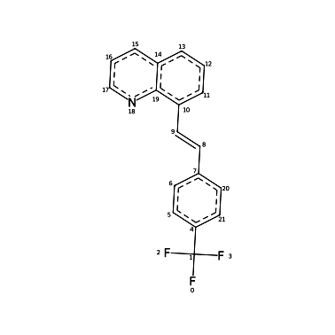 FC(F)(F)c1ccc(/C=C/c2cccc3cccnc23)cc1